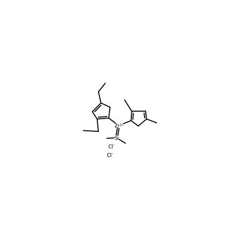 CCC1=CC(CC)=[C]([Zr+2]([C]2=C(C)C=C(C)C2)=[Si](C)C)C1.[Cl-].[Cl-]